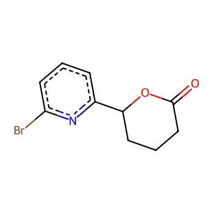 O=C1CCCC(c2cccc(Br)n2)O1